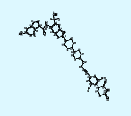 CC(C)(O)c1cc2nn(C3CCC(N4CCC(OCC#Cc5cc(F)c([C@H]6CCC(=O)NC6=O)c(F)c5)CC4)CC3)cc2cc1NC(=O)c1ccc2cc(C#N)cnn12